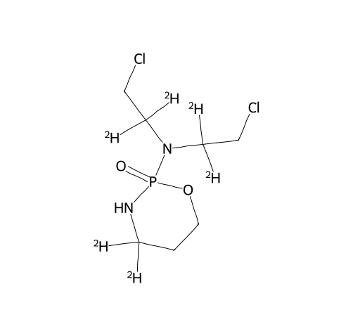 [2H]C1([2H])CCOP(=O)(N(C([2H])([2H])CCl)C([2H])([2H])CCl)N1